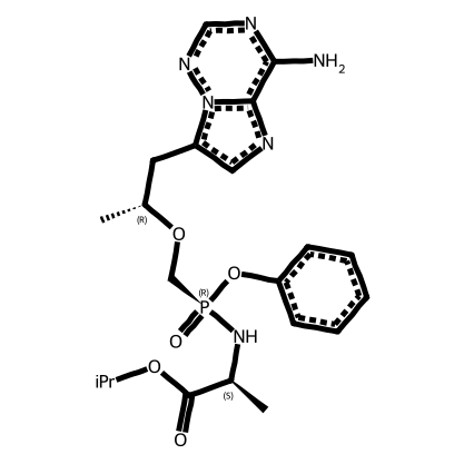 CC(C)OC(=O)[C@H](C)N[P@@](=O)(CO[C@H](C)Cc1cnc2c(N)ncnn12)Oc1ccccc1